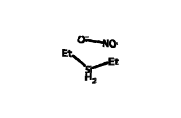 CC[SiH2]CC.O=[N+][O-]